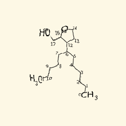 CCCCCCC(CCCCC)C1CCOC1CO